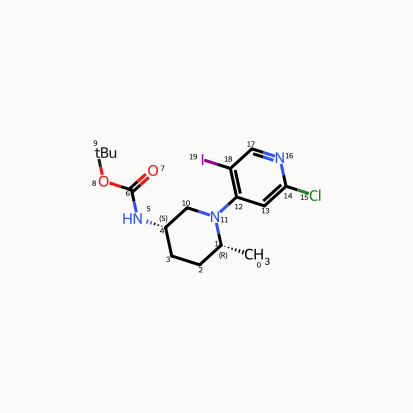 C[C@@H]1CC[C@H](NC(=O)OC(C)(C)C)CN1c1cc(Cl)ncc1I